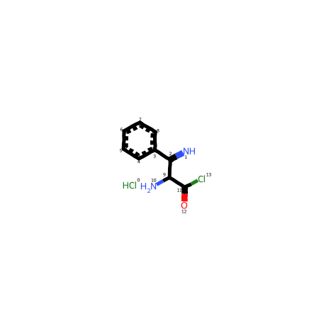 Cl.N=C(c1ccccc1)C(N)C(=O)Cl